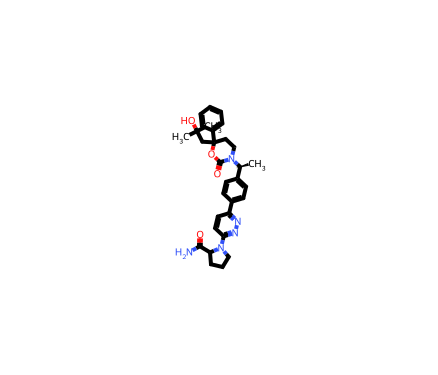 C[C@@H](c1ccc(-c2ccc(N3CCCC3C(N)=O)nn2)cc1)N1CCC(CC(C)(C)O)(c2ccccc2)OC1=O